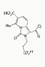 CC(C)(C)c1c(C(=O)O)ccc2c(C(=O)Cl)n(CCC(=O)O)c(=O)n12